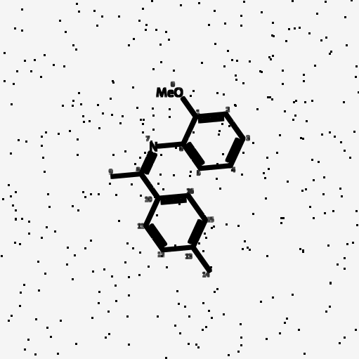 COc1ccccc1N=C(C)c1ccc(C)cc1